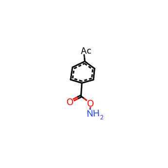 CC(=O)c1ccc(C(=O)ON)cc1